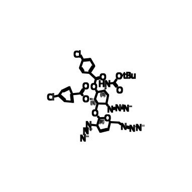 CC(C)(C)OC(=O)N[C@@H]1CC(N=[N+]=[N-])C(O[C@H]2OC(CN=[N+]=[N-])C=CC2N=[N+]=[N-])[C@H](OC(=O)c2ccc(Cl)cc2)C1OC(=O)c1ccc(Cl)cc1